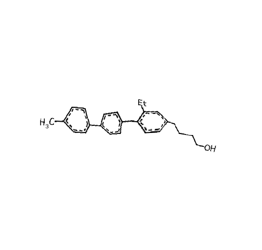 CCc1cc(CCCCO)ccc1-c1ccc(-c2ccc(C)cc2)cc1